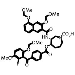 COCOc1cc2c(OCOC)cccc2cc1C(=O)N[C@@H]1CN(C(=O)O)CCC[C@H]1OC(=O)c1ccc(C(=O)c2c(OCOC)ccc(OC)c2F)cc1